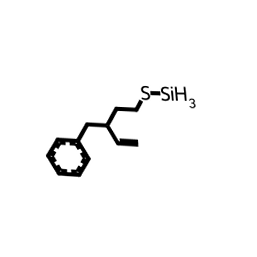 C=CC(CCS[SiH3])Cc1ccccc1